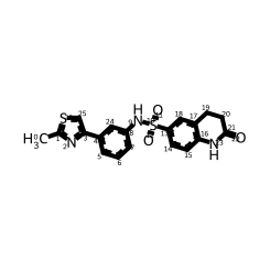 Cc1nc(-c2cccc(NS(=O)(=O)c3ccc4c(c3)CCC(=O)N4)c2)cs1